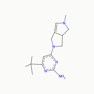 CN1C=C2CN(c3cc(C(C)(C)C)nc(N)n3)CC2C1